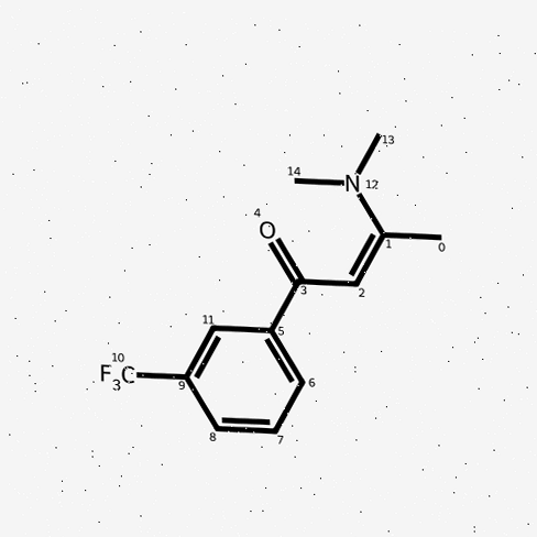 CC(=CC(=O)c1cccc(C(F)(F)F)c1)N(C)C